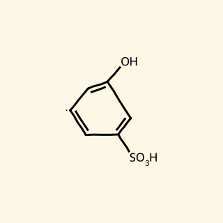 O=S(=O)(O)c1c[c]cc(O)c1